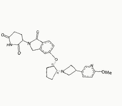 COc1ccc(C2CN([C@@H]3CCC[C@@H]3Oc3ccc4c(c3)CN(C3CCC(=O)NC3=O)C4=O)C2)cn1